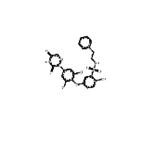 O=c1cnn(-c2cc(Cl)c(Oc3ccc(O)c(S(=O)(=O)NCCc4ccccc4)c3)c(Cl)c2)c(=O)[nH]1